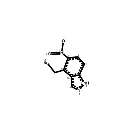 O=[N+]([O-])c1ccc2[nH]ncc2c1CBr